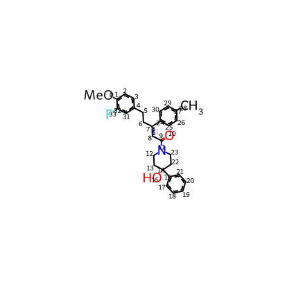 COc1ccc(CC/C(=C/C(=O)N2CCC(O)(c3ccccc3)CC2)c2ccc(C)cc2)cc1F